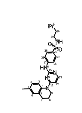 Cc1ccc2c(c1)CCCN2c1ccnc(Nc2ccc(S(=O)(=O)NCCC(C)C)cc2)n1